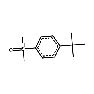 CC(C)(C)c1ccc([SH](C)(C)=O)cc1